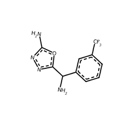 Nc1nnc(C(N)c2cccc(C(F)(F)F)c2)o1